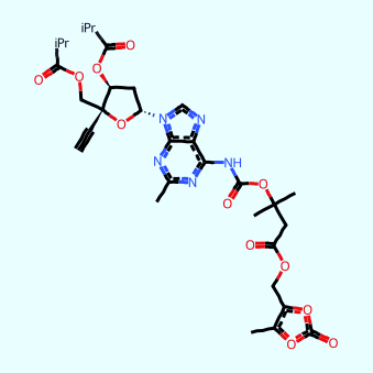 C#C[C@]1(COC(=O)C(C)C)O[C@@H](n2cnc3c(NC(=O)OC(C)(C)CC(=O)OCc4oc(=O)oc4C)nc(C)nc32)C[C@@H]1OC(=O)C(C)C